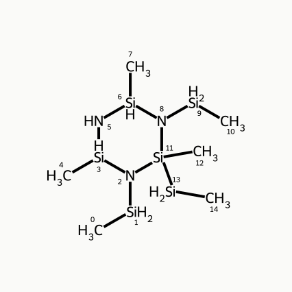 C[SiH2]N1[SiH](C)N[SiH](C)N([SiH2]C)[Si]1(C)[SiH2]C